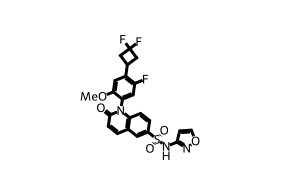 COc1cc(C2CC(F)(F)C2)c(F)cc1-n1c(=O)ccc2cc(S(=O)(=O)Nc3ccon3)ccc21